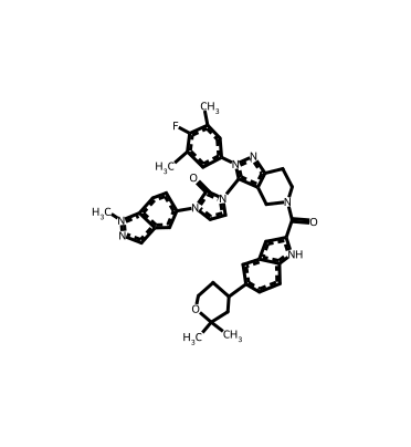 Cc1cc(-n2nc3c(c2-n2ccn(-c4ccc5c(cnn5C)c4)c2=O)CN(C(=O)c2cc4cc(C5CCOC(C)(C)C5)ccc4[nH]2)CC3)cc(C)c1F